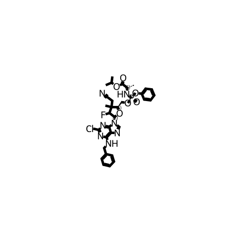 CC(C)OC(=O)[C@H](C)NP(=O)(OC[C@H]1O[C@@H](n2cnc3c(NCc4ccccc4)nc(Cl)nc32)C(F)C1(C)CC#N)Oc1ccccc1